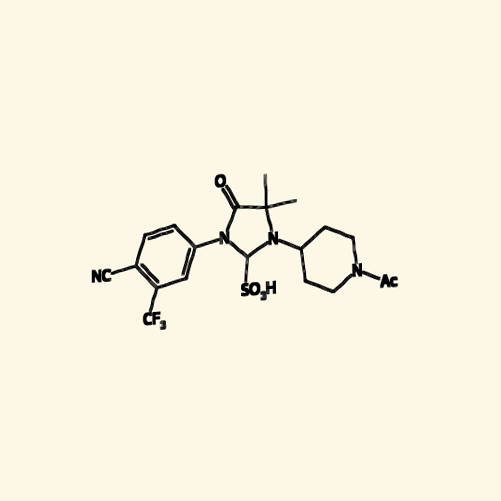 CC(=O)N1CCC(N2C(S(=O)(=O)O)N(c3ccc(C#N)c(C(F)(F)F)c3)C(=O)C2(C)C)CC1